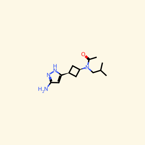 CC(=O)N(CC(C)C)[C@H]1C[C@@H](c2cc(N)n[nH]2)C1